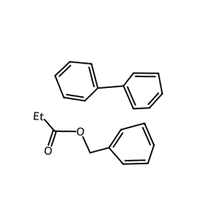 CCC(=O)OCc1ccccc1.c1ccc(-c2ccccc2)cc1